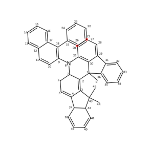 CC12C3=C4C(=CCC3N(c3ccc5ccccc5c3-c3ccccc3)c3cccc(c31)-c1ccccc12)C1C=CC=CC1C4(C)C